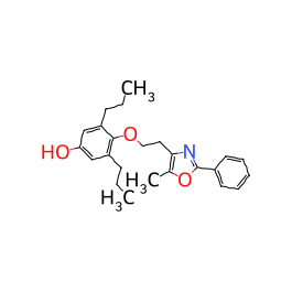 CCCc1cc(O)cc(CCC)c1OCCc1nc(-c2ccccc2)oc1C